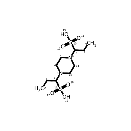 CCC(N1CCN(C(CC)S(=O)(=O)O)CC1)S(=O)(=O)O